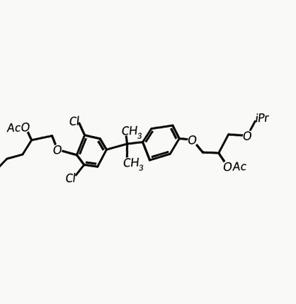 CC(=O)OC(CCI)COc1c(Cl)cc(C(C)(C)c2ccc(OCC(COC(C)C)OC(C)=O)cc2)cc1Cl